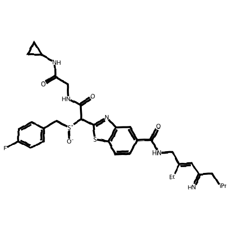 CC/C(=C\C(=N)CC(C)C)CNC(=O)c1ccc2sc(C(C(=O)NCC(=O)NC3CC3)[S+]([O-])Cc3ccc(F)cc3)nc2c1